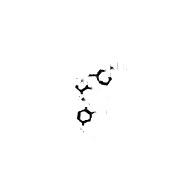 Cc1cc([N+](=O)[O-])ccc1/N=N/c1cnn(Cc2ccc[n+](C)c2)c1N